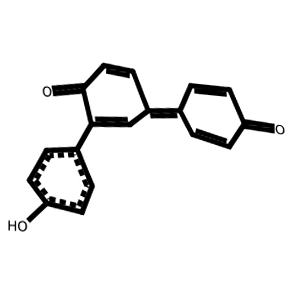 O=C1C=CC(=C2C=CC(=O)C(c3ccc(O)cc3)=C2)C=C1